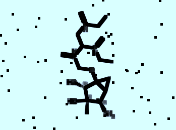 B[C@@H]1C2CC2(OC[PH](=C)C(C[PH](=C)CC)[PH](=C)CC)[C@@H](O)[C@@]1(C)O